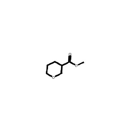 COC(=O)C1[C]OCCC1